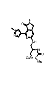 COCC(CNc1cc2c(c(-c3cnn(C)c3)n1)C(=O)NC2)NC(=O)OC(C)(C)C